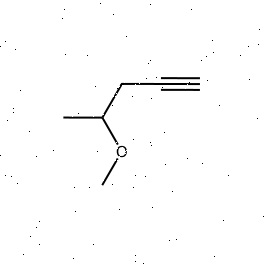 C#CCC(C)OC